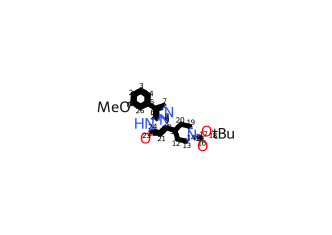 COc1cccc(-c2cnn3c(C4CCN(C(=O)OC(C)(C)C)CC4)cc(=O)[nH]c23)c1